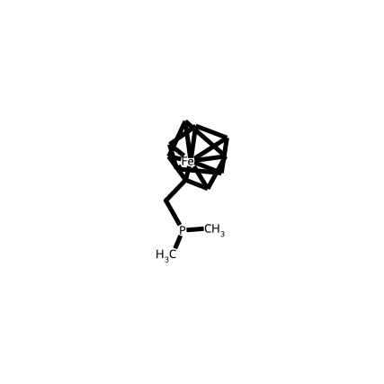 CP(C)C[C]12[CH]3[CH]4[CH]5[CH]1[Fe]45321678[CH]2[CH]1[CH]6[CH]7[CH]28